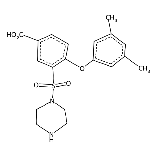 Cc1cc(C)cc(Oc2ccc(C(=O)O)cc2S(=O)(=O)N2CCNCC2)c1